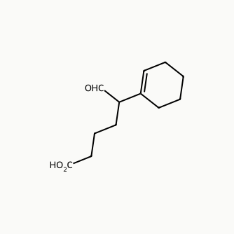 O=CC(CCCC(=O)O)C1=CCCCC1